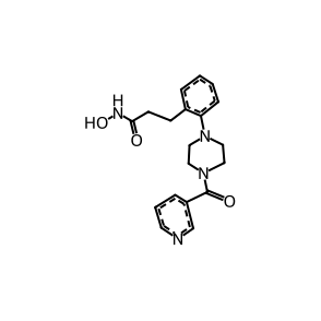 O=C(CCc1ccccc1N1CCN(C(=O)c2cccnc2)CC1)NO